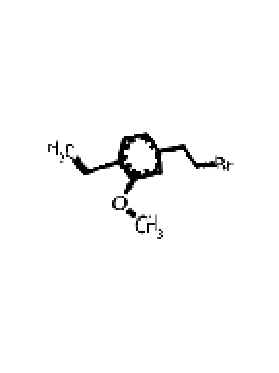 C=Cc1ccc(CCBr)cc1OC